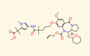 C=CCOC(=O)N1c2cc(OCCCC(C)(C)C(=O)Nc3cc(C(C)(C)C(=O)OC)n(C)c3)c(OC)cc2C(=O)N2CCC[C@H]2C1OC1CCCCO1